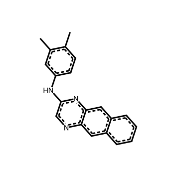 Cc1ccc(Nc2cnc3cc4ccccc4cc3n2)cc1C